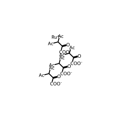 CC(=O)C(C(C)=O)C(=O)C(=O)[O-].CC(=O)C(C(C)=O)C(=O)C(=O)[O-].CC(=O)C(C(C)=O)C(=O)C(=O)[O-].CC(=O)C(C(C)=O)C(=O)C(=O)[O-].[Ru+4]